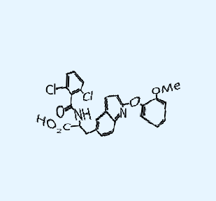 COc1ccccc1Oc1ccc2cc(CC(NC(=O)c3c(Cl)cccc3Cl)C(=O)O)ccc2n1